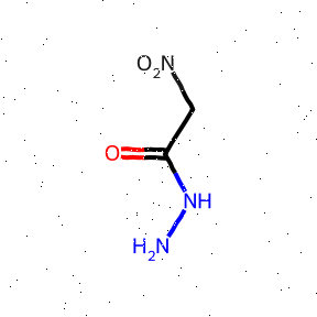 NNC(=O)C[N+](=O)[O-]